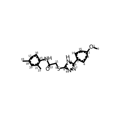 COc1ccc(-c2nnc(SCC(=O)Nc3ccc(C)cc3C)[nH]2)cc1